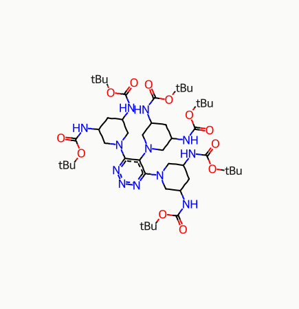 CC(C)(C)OC(=O)NC1CC(NC(=O)OC(C)(C)C)CN(c2nnnc(N3CC(NC(=O)OC(C)(C)C)CC(NC(=O)OC(C)(C)C)C3)c2N2CC(NC(=O)OC(C)(C)C)CC(NC(=O)OC(C)(C)C)C2)C1